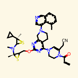 C=CC(=O)N1CCN(c2nc(OCC3S[C@]3(C)N(C)C3S[C@]3(C)C3CC3)nc3c2CCN(c2cncc4cccc(C)c24)C3)C=C1CC#N